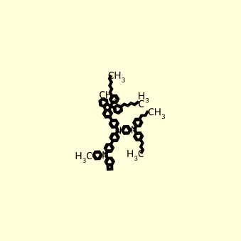 CCCCCCc1cccc(C2(c3cccc(CCCCCC)c3)c3cc(C)ccc3-c3ccc(-c4ccc(N(c5ccc(-c6ccc(N(c7ccc(C)cc7)c7ccc8c(c7)CC8)cc6)cc5)c5ccc(N(c6ccc(CCCC)cc6)c6ccc(CCCC)cc6)cc5)cc4)cc32)c1